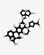 N#Cc1c(N)sc2c(F)ccc(-c3c(Cl)c4c5c(nc(OC[C@@]67CCCN6C[C@H](F)C7)nc5c3F)N(C3CCC(C(F)F)C3)CCO4)c12